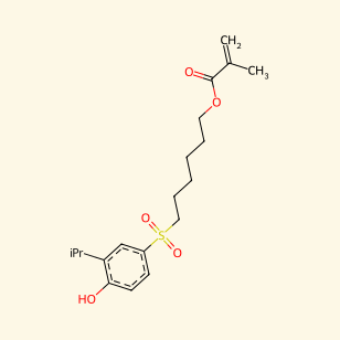 C=C(C)C(=O)OCCCCCCS(=O)(=O)c1ccc(O)c(C(C)C)c1